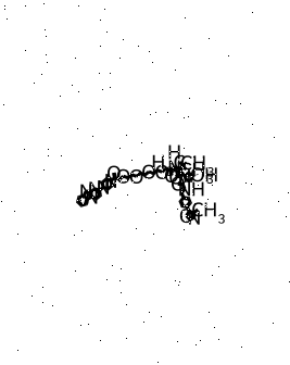 Cc1ncoc1-c1ccc(CNC(=O)[C@@H]2C[C@@H](O)CN2C(=O)C(NC(=O)COCCOCCOCCOCC(=O)N2CCN(c3ccn4c(n3)nc3ccccc34)CC2)C(C)(C)C)cc1